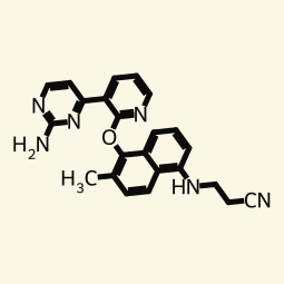 Cc1ccc2c(NCCC#N)cccc2c1Oc1ncccc1-c1ccnc(N)n1